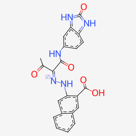 CC(=O)/C(=N/Nc1cc2ccccc2cc1C(=O)O)C(=O)Nc1ccc2[nH]c(=O)[nH]c2c1